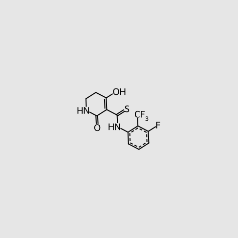 O=C1NCCC(O)=C1C(=S)Nc1cccc(F)c1C(F)(F)F